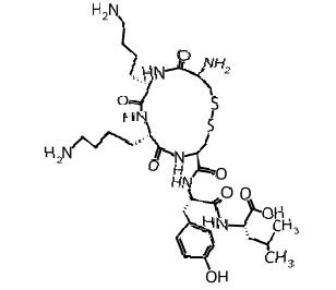 CC(C)C[C@H](NC(=O)[C@H](Cc1ccc(O)cc1)NC(=O)[C@@H]1CSSC[C@H](N)C(=O)N[C@@H](CCCCN)C(=O)N[C@@H](CCCCN)C(=O)N1)C(=O)O